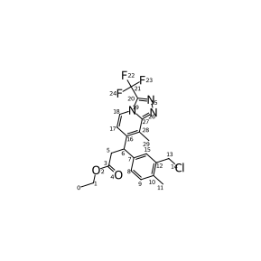 CCOC(=O)CC(c1ccc(C)c(CCl)c1)c1ccn2c(C(F)(F)F)nnc2c1C